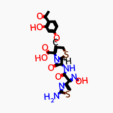 CC(=O)c1ccc(OCC2=C(C(=O)O)N3C(=O)C(NC(=O)C(=NO)c4csc(N)n4)[C@@H]3SC2)cc1O